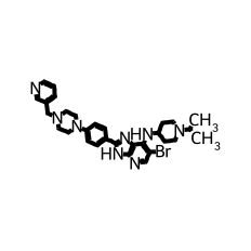 CC(C)N1CCC(Nc2c(Br)cnc3[nH]c(-c4ccc(N5CCN(Cc6cccnc6)CC5)cc4)nc23)CC1